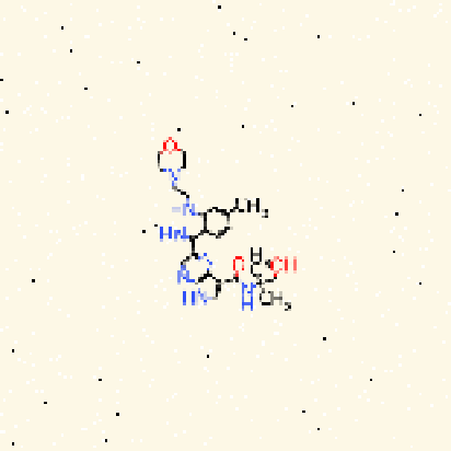 Cc1ccc(C(=N)c2cnc3[nH]cc(C(=O)NC(C)(C)CO)c3n2)c(NCCN2CCOCC2)c1